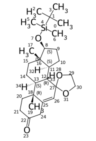 CC(C)(C)[Si](C)(C)O[C@H]1CC[C@H]2[C@H]3[C@H](CC[C@]12C)[C@@]1(C)CCC(=O)CC1=CC31OCCO1